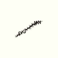 CCCOCCOCCCCCCCCN=[N+]=[N-]